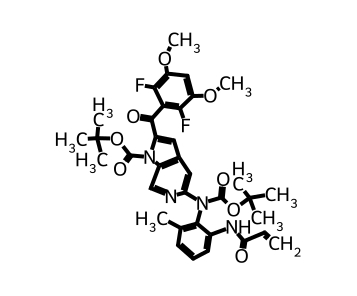 C=CC(=O)Nc1cccc(C)c1N(C(=O)OC(C)(C)C)c1cc2cc(C(=O)c3c(F)c(OC)cc(OC)c3F)n(C(=O)OC(C)(C)C)c2cn1